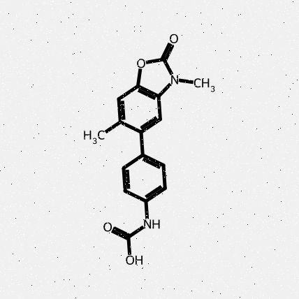 Cc1cc2oc(=O)n(C)c2cc1-c1ccc(NC(=O)O)cc1